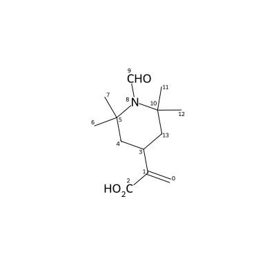 C=C(C(=O)O)C1CC(C)(C)N(C=O)C(C)(C)C1